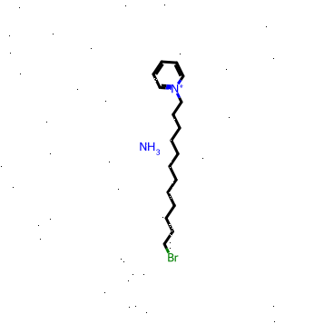 BrCCCCCCCCCCCC[n+]1ccccc1.N